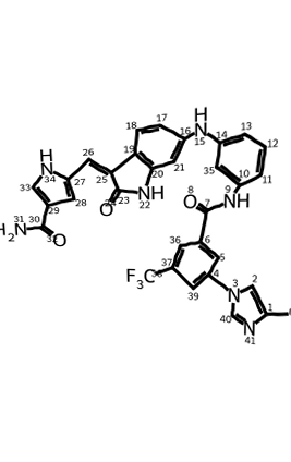 Cc1cn(-c2cc(C(=O)Nc3cccc(Nc4ccc5c(c4)NC(=O)/C5=C\c4cc(C(N)=O)c[nH]4)c3)cc(C(F)(F)F)c2)cn1